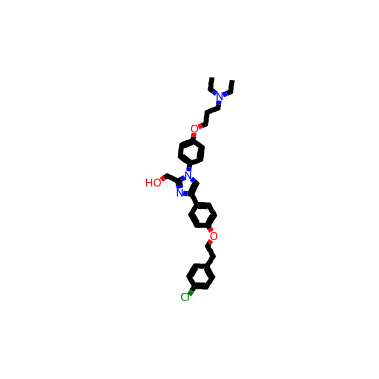 CCN(CC)CCCOc1ccc(-n2cc(-c3ccc(OCCc4ccc(Cl)cc4)cc3)nc2CO)cc1